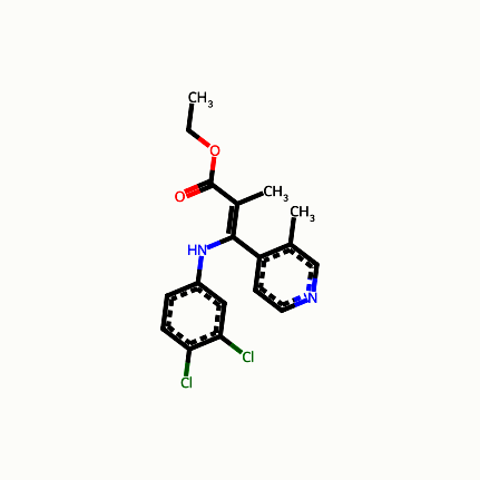 CCOC(=O)/C(C)=C(\Nc1ccc(Cl)c(Cl)c1)c1ccncc1C